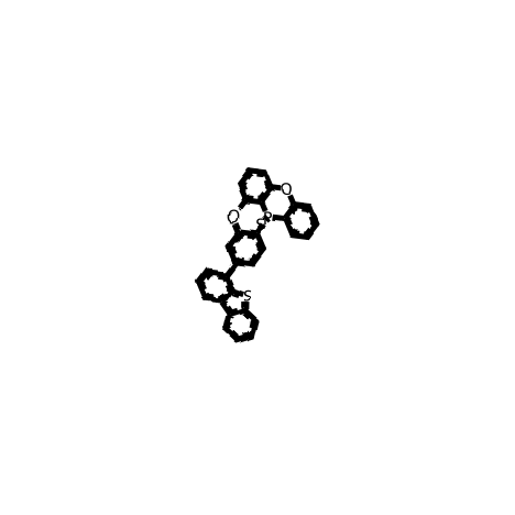 S=P12c3ccccc3Oc3cccc(c31)Oc1cc(-c3cccc4c3sc3ccccc34)ccc12